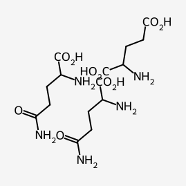 NC(=O)CCC(N)C(=O)O.NC(=O)CCC(N)C(=O)O.NC(CCC(=O)O)C(=O)O